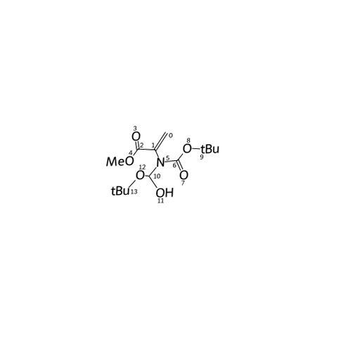 C=C(C(=O)OC)N(C(=O)OC(C)(C)C)C(O)OC(C)(C)C